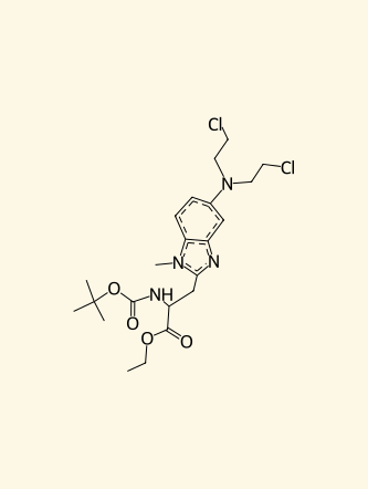 CCOC(=O)C(Cc1nc2cc(N(CCCl)CCCl)ccc2n1C)NC(=O)OC(C)(C)C